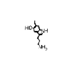 NCCCc1c[nH]c2cc(I)c(O)cc12